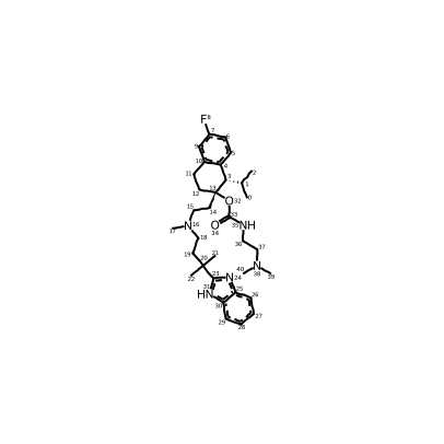 CC(C)[C@H]1c2ccc(F)cc2CC[C@@]1(CCN(C)CCC(C)(C)c1nc2ccccc2[nH]1)OC(=O)NCCN(C)C